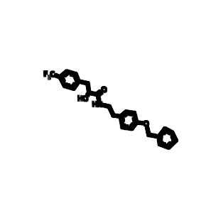 O=C(NCCc1ccc(OCc2ccccc2)cc1)C(O)Cc1ccc(C(F)(F)F)cc1